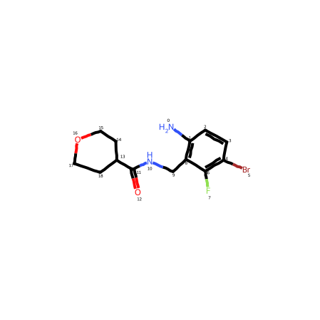 Nc1ccc(Br)c(F)c1CNC(=O)C1CCOCC1